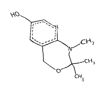 CN1c2ncc(O)cc2COC1(C)C